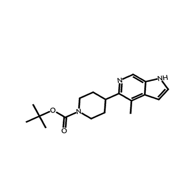 Cc1c(C2CCN(C(=O)OC(C)(C)C)CC2)ncc2[nH]ccc12